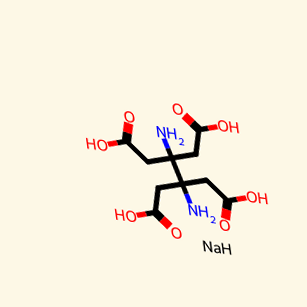 NC(CC(=O)O)(CC(=O)O)C(N)(CC(=O)O)CC(=O)O.[NaH]